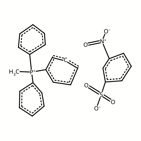 C[P+](c1ccccc1)(c1ccccc1)c1ccccc1.O=[N+]([O-])c1cccc(S(=O)(=O)[O-])c1